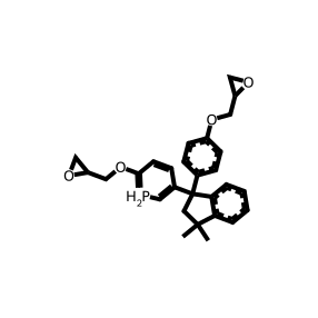 C=C(/C=C\C(=C/P)C1(c2ccc(OCC3CO3)cc2)CC(C)(C)c2ccccc21)OCC1CO1